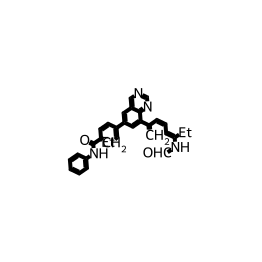 C=C(/C=C\C(=C/CC)c1cc(C(=C)/C=C\C=C(/CC)NC=O)c2ncncc2c1)C(=O)Nc1ccccc1